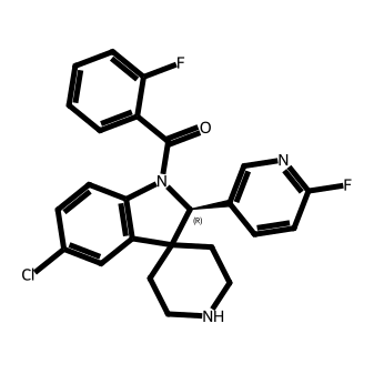 O=C(c1ccccc1F)N1c2ccc(Cl)cc2C2(CCNCC2)[C@@H]1c1ccc(F)nc1